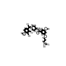 COc1cc(OCCCN(C)C)cc(C(=O)NC2CCN(C(C)c3ccc(OC)c(C)c3C)CC2)c1